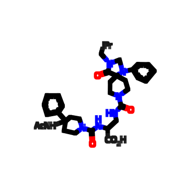 CC(=O)NC1(c2ccccc2)CCN(C(=O)NC(CNC(=O)N2CCC3(CC2)C(=O)N(CC(C)C)CN3c2ccccc2)C(=O)O)CC1